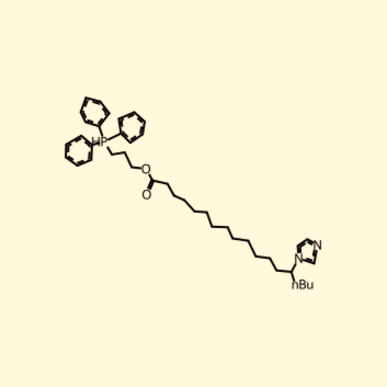 CCCCC(CCCCCCCCCCCCC(=O)OCCC[PH](c1ccccc1)(c1ccccc1)c1ccccc1)n1ccnc1